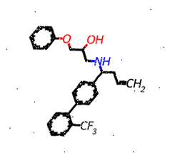 C=CCC(NCC(O)COc1ccccc1)c1ccc(-c2ccccc2C(F)(F)F)cc1